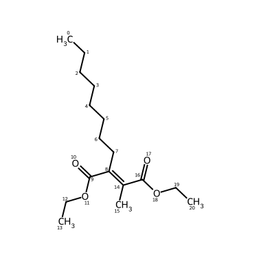 CCCCCCCCC(C(=O)OCC)=C(C)C(=O)OCC